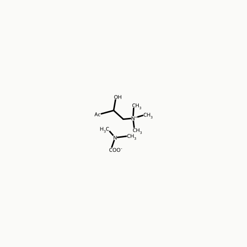 CC(=O)C(O)C[N+](C)(C)C.CN(C)C(=O)[O-]